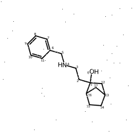 OC1(CCNCc2ccccc2)CC2CCC1C2